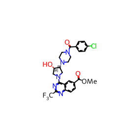 COC(=O)c1ccc2nc(C(F)(F)F)nc(N3C[C@@H](O)[C@H](N4CCN(C(=O)c5ccc(Cl)cc5)CC4)C3)c2c1